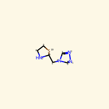 [c]1nncn1CC1NCCS1